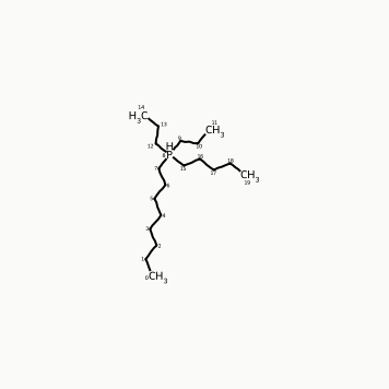 CCCCCCCC[PH](CCC)(CCC)CCCCC